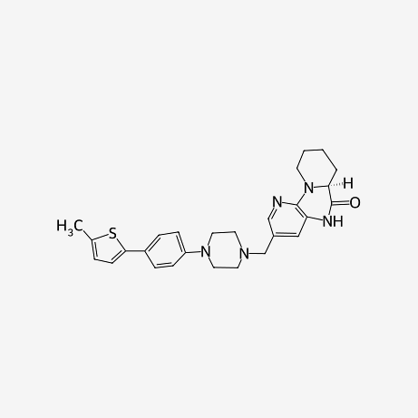 Cc1ccc(-c2ccc(N3CCN(Cc4cnc5c(c4)NC(=O)[C@@H]4CCCCN54)CC3)cc2)s1